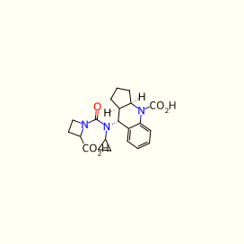 O=C(O)C1CCN1C(=O)N(C1CC1)[C@H]1c2ccccc2N(C(=O)O)[C@@H]2CCC[C@@H]21